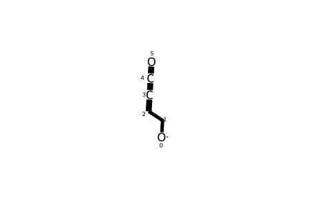 [O]CC=C=C=O